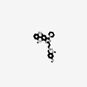 COc1ccc(CNCCc2nc(N3CCCCC3)c3cc(Cl)c(-c4c(F)cccc4OC)c(F)c3n2)c(OC)c1